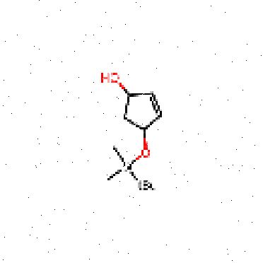 CC(C)(C)[Si](C)(C)O[C@@H]1C=CC(O)C1